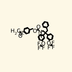 C=[N+]([O-])c1ccc(COC(=O)NCC(Cc2ccccc2)(c2cccc(OC(F)(F)F)c2)c2cccc(OC(F)(F)F)c2)cc1